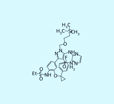 CCS(=O)(=O)Nc1ccc(-c2nn(COCC[Si](C)(C)C)c(Nc3cnccn3)c2C(N)=O)cc1OC1(c2ccc(F)cc2)CC1